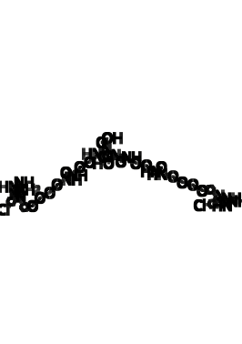 N=C(N)Nc1nc(-c2cccc(OCCOCCOCCOCCNC(=O)NCCOCCOCCNC(=O)CN(CCN(CC(=O)O)CC(=O)NCCOCCOCCNC(=O)NCCOCCOCCOCCOc3cccc(-c4nc(NC(=N)N)nc5ccc(Cl)cc45)c3)CC(=O)O)c2)c2cc(Cl)ccc2n1